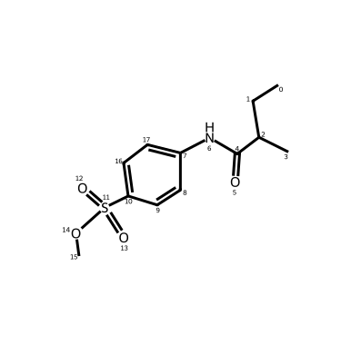 CCC(C)C(=O)Nc1ccc(S(=O)(=O)OC)cc1